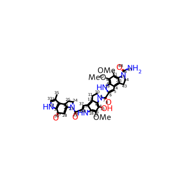 COc1c2c(c3cc(C(=O)N4CCc5c4c(O)c(OC)c4[nH]c(C(=O)N6CCC7C6=CC(=O)c6[nH]cc(C)c67)cc54)[nH]c3c1OC)CCN2C(N)=O